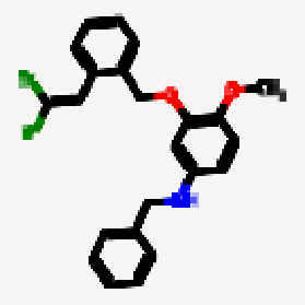 COc1ccc(NCc2ccccc2)cc1OCc1ccccc1C=C(Br)Br